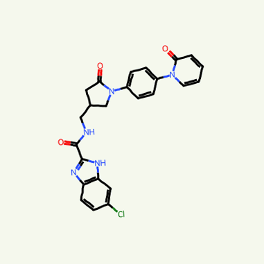 O=C(NCC1CC(=O)N(c2ccc(-n3ccccc3=O)cc2)C1)c1nc2ccc(Cl)cc2[nH]1